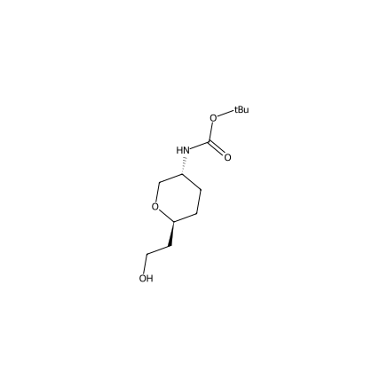 CC(C)(C)OC(=O)N[C@@H]1CC[C@@H](CCO)OC1